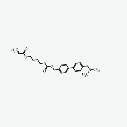 C=CC(=O)OCCCCCC(=O)OCc1ccc(-c2ccc(CN(C)C)cc2)cc1